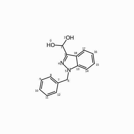 OC(O)c1nn(Cc2ccccc2)c2ccccc12